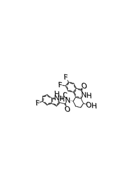 CN(C(=O)c1cc2cc(F)ccc2[nH]1)[C@H]1CCC(O)c2[nH]c(=O)c3cc(F)c(F)cc3c21